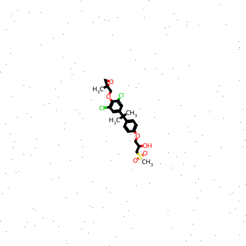 CC1(COc2c(Cl)cc(C(C)(C)c3ccc(OCC(O)CS(C)(=O)=O)cc3)cc2Cl)CO1